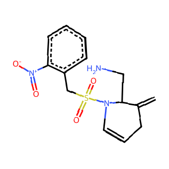 C=C1CC=CN(S(=O)(=O)Cc2ccccc2[N+](=O)[O-])C1CN